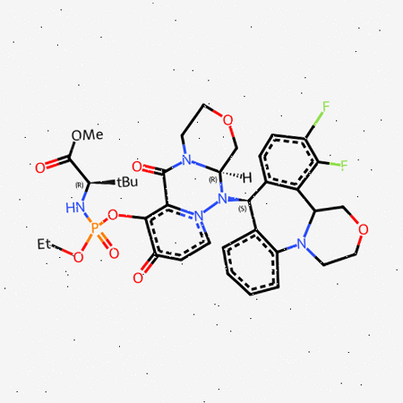 CCOP(=O)(N[C@@H](C(=O)OC)C(C)(C)C)Oc1c2n(ccc1=O)N([C@@H]1c3ccccc3N3CCOCC3c3c1ccc(F)c3F)[C@@H]1COCCN1C2=O